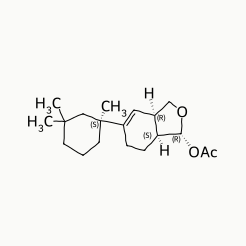 CC(=O)O[C@H]1OC[C@@H]2C=C([C@@]3(C)CCCC(C)(C)C3)CC[C@H]12